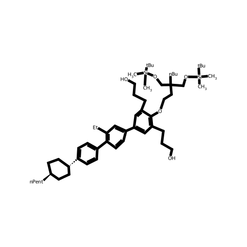 CCCCC[C@H]1CC[C@H](c2ccc(-c3ccc(-c4cc(CCCO)c(OCCC(CCCC)(CO[Si](C)(C)C(C)(C)C)CO[Si](C)(C)C(C)(C)C)c(CCCO)c4)cc3CC)cc2)CC1